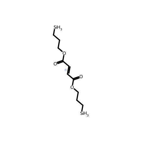 O=C(/C=C/C(=O)OCCC[SiH3])OCCC[SiH3]